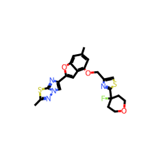 Cc1cc(OCc2csc(C3(F)CCOCC3)n2)c2cc(-c3cn4nc(C)sc4n3)oc2c1